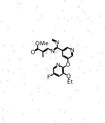 C=N/C(=N\C=C(/C)C(=O)OC)c1cncc(Oc2ncc(F)cc2OCC)c1